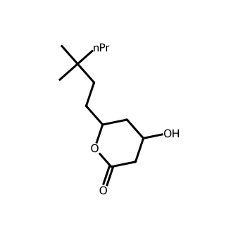 CCCC(C)(C)CCC1CC(O)CC(=O)O1